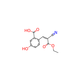 CCOC(=O)C(C#N)=Cc1ccc(O)cc1C(=O)O